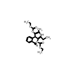 CCOC(=O)OC1=C(C)NC(CC)=C(OC(=O)OCC)C1c1ccccc1C#N